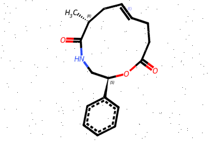 C[C@@H]1C/C=C/CCC(=O)O[C@@H](c2ccccc2)CNC1=O